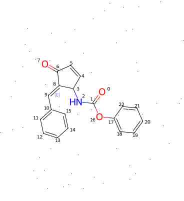 O=C(NC1C=CC(=O)/C1=C/c1ccccc1)Oc1ccccc1